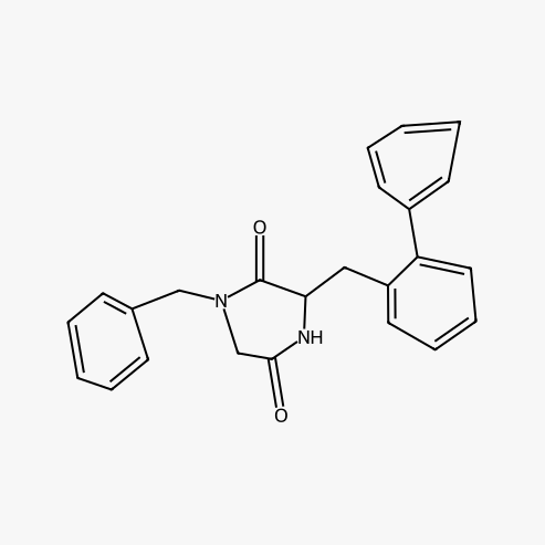 O=C1CN(Cc2ccccc2)C(=O)C(Cc2ccccc2-c2ccccc2)N1